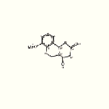 COc1cccc2c1CCN1C(=O)CC(=O)CC21